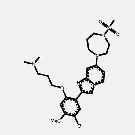 COc1cc(OCCCN(C)C)c(-c2cn3ccc(N4CCCN(S(C)(=O)=O)CC4)cc3n2)cc1Cl